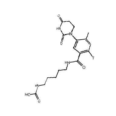 Cc1cc(F)c(C(=O)NCCCCCNC(=O)O)cc1N1CCC(=O)NC1=O